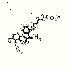 CC1C(=O)CCC(N2C(=O)[C@@H](C)c3c(NCCCCCC(=O)O)cccc32)C1=O